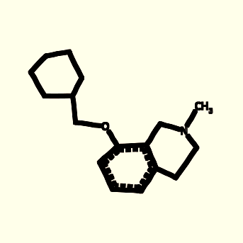 CN1CCc2cccc(OCC3CCCCC3)c2C1